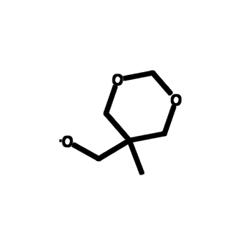 CC1(C[O])COCOC1